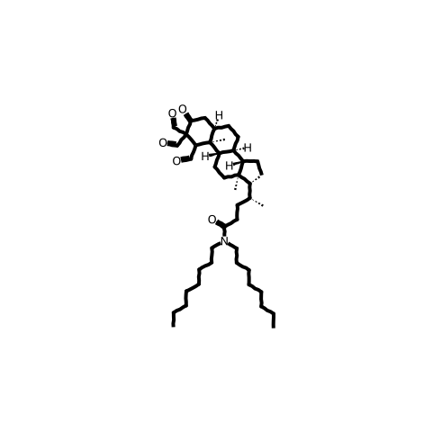 CCCCCCCCN(CCCCCCCC)C(=O)CC[C@@H](C)[C@H]1CC[C@H]2[C@@H]3CC[C@@H]4CC(=O)C(C=O)(C=O)C(C=O)[C@]4(C)[C@H]3CC[C@]12C